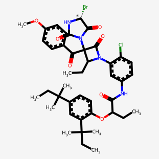 CCC(Oc1ccc(C(C)(C)CC)cc1C(C)(C)CC)C(=O)Nc1ccc(Cl)c(N2C(=O)C(C(=O)c3ccc(OC)cc3)(N3C(=O)N[C@H](Br)C3=O)C2CC)c1